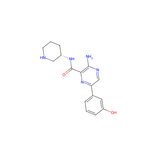 Nc1ncc(-c2cccc(O)c2)nc1C(=O)N[C@H]1CCCNC1